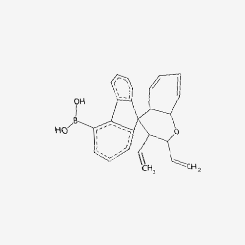 C=CC1OC2C=CC=CC2C2(c3ccccc3-c3c(B(O)O)cccc32)C1C=C